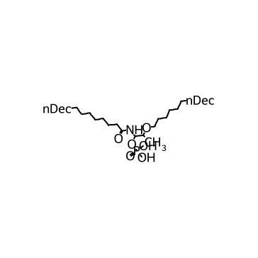 CCCCCCCCCCCCCCCCCC(=O)NC(OP(=O)(O)O)C(C)OCCCCCCCCCCCCCCCC